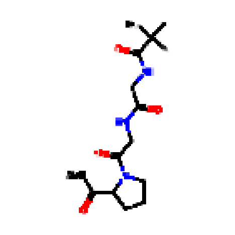 CNC(=O)C1CCCN1C(=O)CNC(=O)CNC(=O)C(C)(C)C(C)(C)C